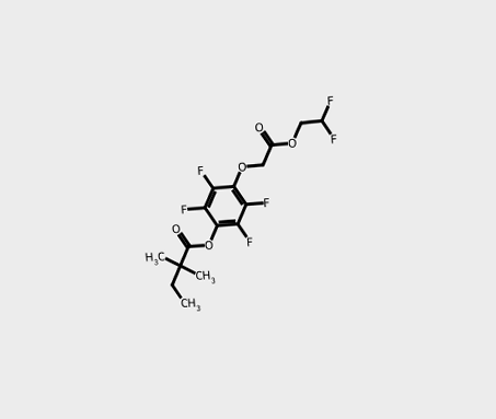 CCC(C)(C)C(=O)Oc1c(F)c(F)c(OCC(=O)OCC(F)F)c(F)c1F